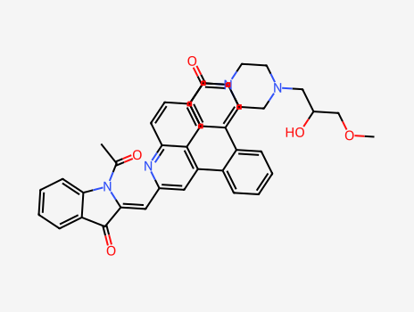 COCC(O)CN1CCN(C(=O)c2ccc3nc(/C=C4/C(=O)c5ccccc5N4C(C)=O)cc(-c4ccccc4-c4ccccc4)c3c2)CC1